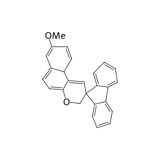 COC1=CC2=CC=C3OCC4(C=C3C2C=C1)c1ccccc1-c1ccccc14